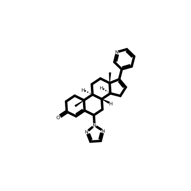 C[C@]12CCC(=O)C=C1C(n1nccn1)C[C@@H]1[C@@H]2CC[C@]2(C)C(c3cccnc3)=CC[C@@H]12